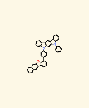 c1ccc(-n2c3ccccc3c3cc4c5ccccc5n(-c5ccc(-c6cccc7c6oc6cc8ccccc8cc67)cc5)c4cc32)cc1